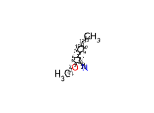 CCCOc1ccc(-c2ccc(CCC)cc2)cc1C#N